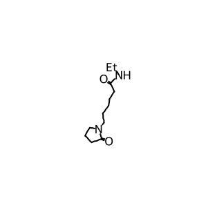 CCNC(=O)CCCCCN1CCCC1=O